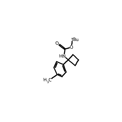 Cc1ccc(C2(NC(=O)OC(C)(C)C)CCC2)cc1